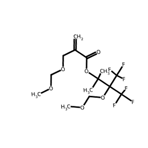 C=C(COCOC)C(=O)OC(C)(C)C(OCOC)(C(F)(F)F)C(F)(F)F